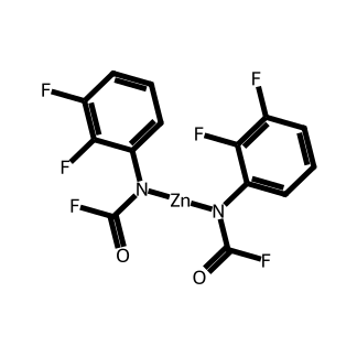 O=C(F)[N]([Zn][N](C(=O)F)c1cccc(F)c1F)c1cccc(F)c1F